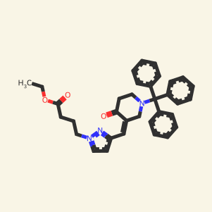 CCOC(=O)CCCn1ccc(/C=C2/CN(C(c3ccccc3)(c3ccccc3)c3ccccc3)CCC2=O)n1